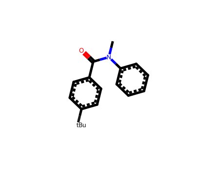 CN(C(=O)c1ccc(C(C)(C)C)cc1)c1ccccc1